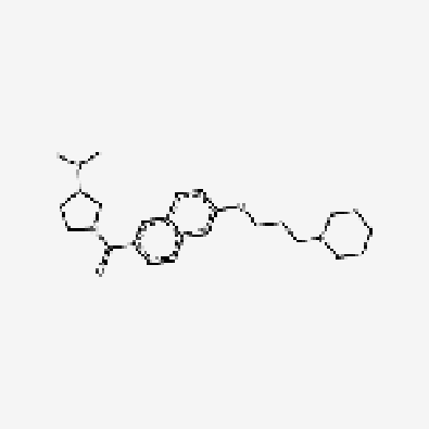 CN(C)C1CCN(C(=O)c2ccc3cc(OCCCN4CCCCC4)ccc3c2)C1